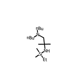 CCCCN(CCCC)CC(C)(C)N[Si](C)(C)CC